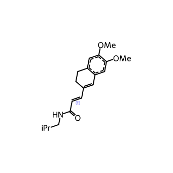 COc1cc2c(cc1OC)CCC(/C=C/C(=O)NCC(C)C)=C2